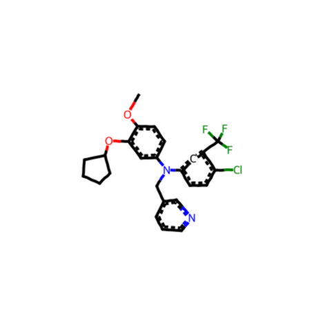 COc1ccc(N(Cc2cccnc2)c2ccc(Cl)c(C(F)(F)F)c2)cc1OC1CCCC1